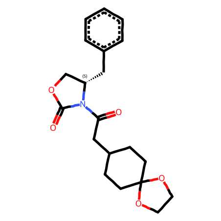 O=C(CC1CCC2(CC1)OCCO2)N1C(=O)OC[C@@H]1Cc1ccccc1